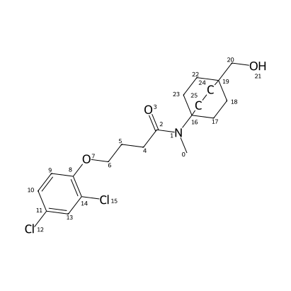 CN(C(=O)CCCOc1ccc(Cl)cc1Cl)C12CCC(CO)(CC1)CC2